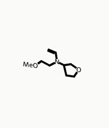 C=CN(CCOC)C1CCOC1